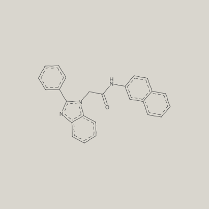 O=C(Cn1c(-c2ccccc2)nc2ccccc21)Nc1ccc2ccccc2c1